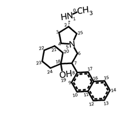 CN[C@H]1CCN(CC(c2ccc3ccccc3c2)C2(O)CCCCC2)C1